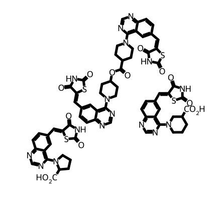 O=C1NC(=O)C(=Cc2ccc3ncnc(N4CCC(OC(=O)C5CCN(c6ncnc7ccc(C=C8SC(=O)NC8=O)cc67)CC5)CC4)c3c2)S1.O=C1NC(=O)C(=Cc2ccc3ncnc(N4CCCC(C(=O)O)C4)c3c2)S1.O=C1NC(=O)C(=Cc2ccc3ncnc(N4CCCC4C(=O)O)c3c2)S1